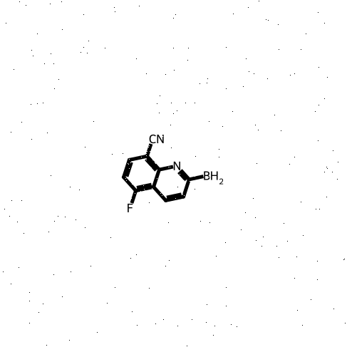 Bc1ccc2c(F)ccc(C#N)c2n1